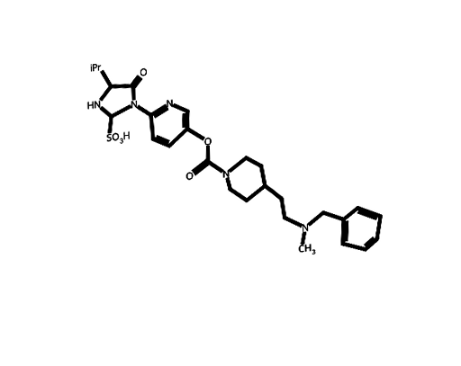 CC(C)C1NC(S(=O)(=O)O)N(c2ccc(OC(=O)N3CCC(CCN(C)Cc4ccccc4)CC3)cn2)C1=O